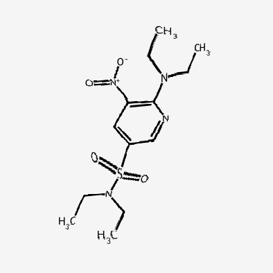 CCN(CC)c1ncc(S(=O)(=O)N(CC)CC)cc1[N+](=O)[O-]